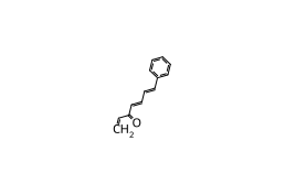 C=CC(=O)C=CC=Cc1ccccc1